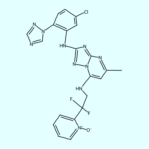 Cc1cc(NCC(F)(F)c2cccc[n+]2[O-])n2nc(Nc3cc(Cl)ccc3-n3cncn3)nc2n1